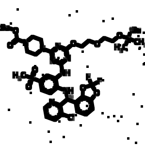 CC(C)(C)OC(=O)N1CCN(c2nc(Nc3cc(S(C)(=O)=O)ccc3N[C@@H](c3cccc4c3OC(F)(F)O4)c3ncccc3Cl)nc(OCCOCCO[Si](C)(C)C(C)(C)C)n2)CC1